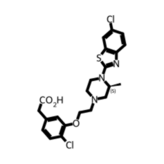 C[C@H]1CN(CCOc2cc(CC(=O)O)ccc2Cl)CCN1c1nc2ccc(Cl)cc2s1